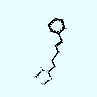 CCCO[SiH](CCCC=Cc1ccccc1)OCCC